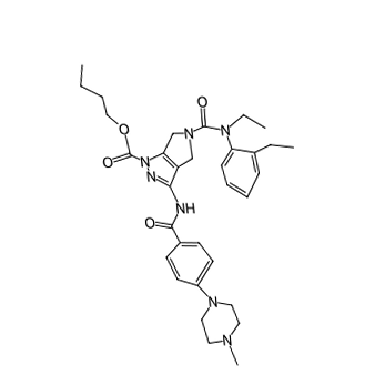 CCCCOC(=O)n1nc(NC(=O)c2ccc(N3CCN(C)CC3)cc2)c2c1CN(C(=O)N(CC)c1ccccc1CC)C2